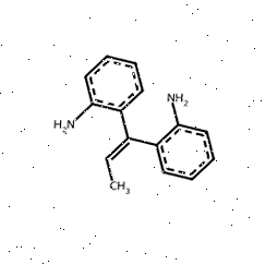 CC=C(c1ccccc1N)c1ccccc1N